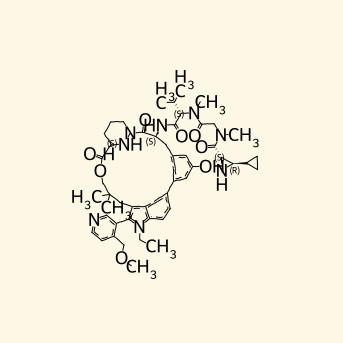 CCn1c(-c2cnccc2COC)c2c3cc(ccc31)-c1cc(O)cc(c1)C[C@H](NC(=O)[C@H](C(C)C)N(C)C(=O)CN(C)C(=O)[C@H]1N[C@@H]1C1CC1)C(=O)N1CCC[C@H](N1)C(=O)OCC(C)(C)C2